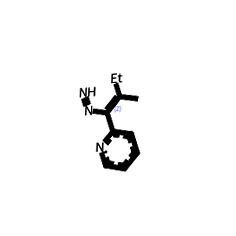 CC/C(C)=C(\N=N)c1ccccn1